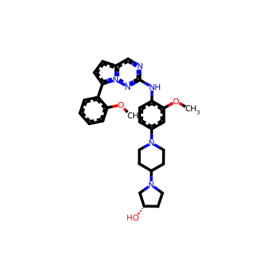 COc1cc(N2CCC(N3CC[C@H](O)C3)CC2)ccc1Nc1ncc2ccc(-c3ccccc3OC)n2n1